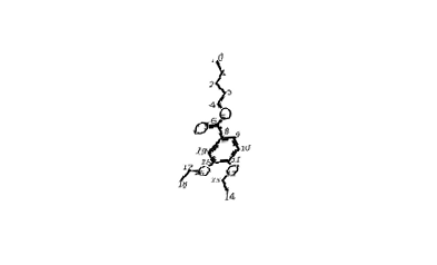 [CH2]CCCCOC(=O)c1ccc(OCC)c(OCC)c1